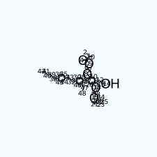 C=C(C)C(=O)OCCOc1cc(CCO)c(OCCOC(=C)C(C)(C)C)cc1-c1ccc(CCc2ccc(CCCCC)cc2)cc1CC